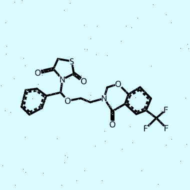 O=C1c2cc(C(F)(F)F)ccc2OCN1CCOC(c1ccccc1)N1C(=O)CSC1=O